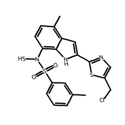 Cc1cccc(S(=O)(=O)N(S)c2ccc(C)c3cc(-c4ncc(CCl)s4)[nH]c23)c1